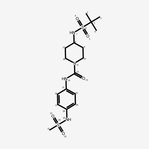 CC(C)(C)S(=O)(=O)NC1CCN(C(=O)Nc2ccc(NS(C)(=O)=O)cc2)CC1